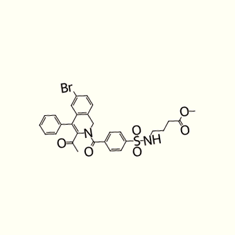 COC(=O)CCCNS(=O)(=O)c1ccc(C(=O)N2Cc3ccc(Br)cc3C(c3ccccc3)=C2C(C)=O)cc1